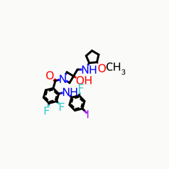 CO[C@H]1CCCC1NCC1(O)CN(C(=O)c2ccc(F)c(F)c2Nc2ccc(I)cc2F)C1